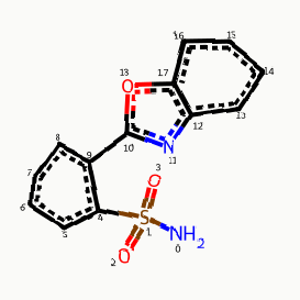 NS(=O)(=O)c1ccccc1-c1nc2ccccc2o1